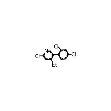 CCc1cc(Cl)ncc1-c1ccc(Cl)cc1Cl